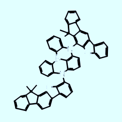 CC1(C)c2ccccc2-c2cc3c(oc4ccccc43)c(N3c4ccccc4B4c5ccccc5N(c5cccc6c5oc5c7c(ccc56)-c5ccccc5C7(C)C)c5cccc3c54)c21